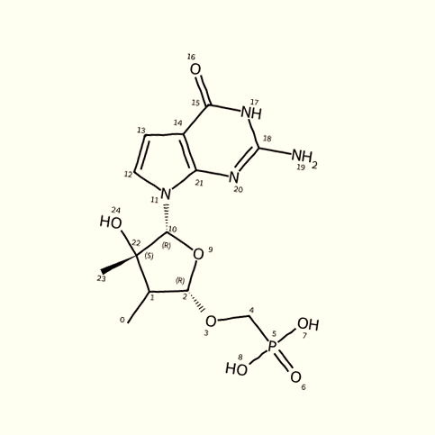 CC1[C@@H](OCP(=O)(O)O)O[C@@H](n2ccc3c(=O)[nH]c(N)nc32)[C@@]1(C)O